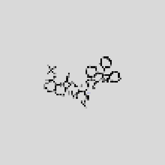 CO/N=C(\C(=O)N[C@@H]1C(=O)N2C(C(=O)OC(C)(C)C)=C(CI)CS[C@H]12)c1csc(NC(c2ccccc2)(c2ccccc2)c2ccccc2)n1